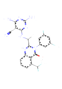 CC(Nc1nc(N)nc(N)c1C#N)c1nc2cccc(C(F)F)c2c(=O)n1-c1cc(F)cc(F)c1